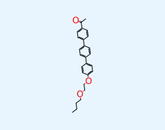 CCCCOCCOc1ccc(-c2ccc(-c3ccc(C(C)=O)cc3)cc2)cc1